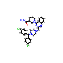 NC(=O)C1CCCN(c2nc(CN3CCN(C(c4ccc(Cl)cc4)c4ccc(Cl)cc4)CC3)nc3ccccc23)C1